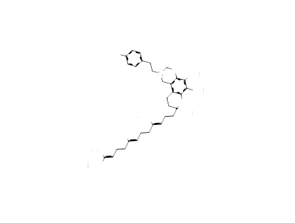 CC(C)=CCC/C(C)=C/CC/C(C)=C/CC[C@]1(C)CCc2c3c(c(C)c(C)c2O1)OCN(CCc1ccc(O)cc1)C3